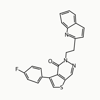 O=c1c2c(-c3ccc(F)cc3)csc2cnn1CCc1ccc2ccccc2n1